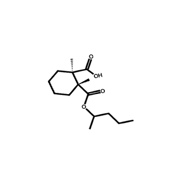 CCCC(C)OC(=O)[C@]1(C)CCCC[C@@]1(C)C(=O)O